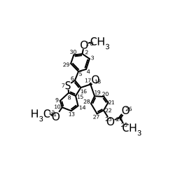 COc1ccc(-c2sc3cc(OC)ccc3c2C(=O)c2ccc(OC(C)=O)cc2)cc1